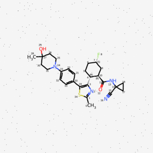 Cc1nc([C@@H]2CC[C@H](F)C[C@H]2C(=O)NC2(C#N)CC2)c(-c2ccc(N3CCC(C)(O)CC3)cc2)s1